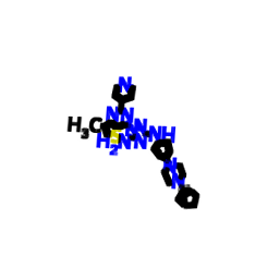 Cc1csc2c(-n3nc(Nc4ccc(N5CCN([C@H]6CC7CCC6C7)CC5)cc4)nc3N)nc(-c3ccncc3)nc12